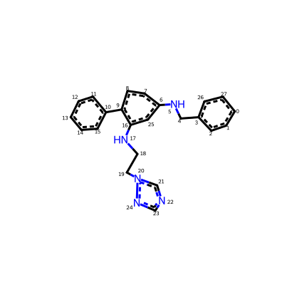 c1ccc(CNc2ccc(-c3ccccc3)c(NCCn3cncn3)c2)cc1